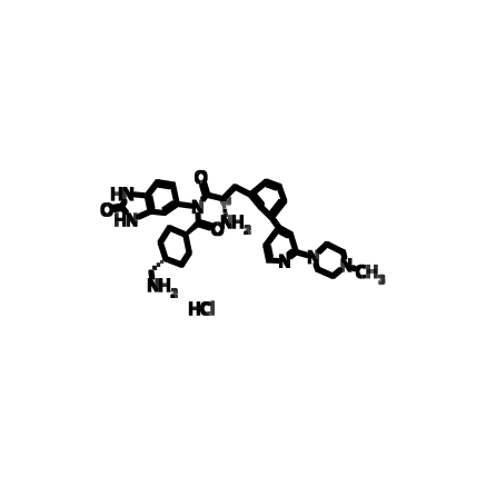 CN1CCN(c2cc(-c3cccc(C[C@H](N)C(=O)N(c4ccc5[nH]c(=O)[nH]c5c4)C(=O)[C@H]4CC[C@H](CN)CC4)c3)ccn2)CC1.Cl